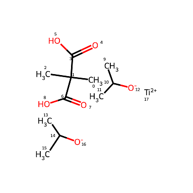 CC(C)(C(=O)O)C(=O)O.CC(C)[O-].CC(C)[O-].[Ti+2]